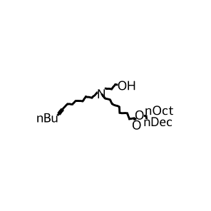 CCCCC#CCCCCCCCN(CCCO)CCCCCCCC(=O)OC(CCCCCCCC)CCCCCCCCCC